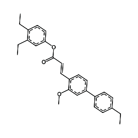 CCc1ccc(-c2ccc(/C=C/C(=O)Oc3ccc(CC)c(CC)c3)c(OC)c2)cc1